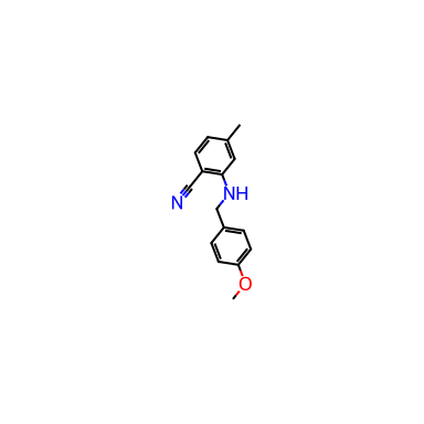 COc1ccc(CNc2cc(C)ccc2C#N)cc1